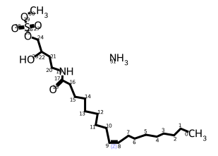 CCCCCCCC/C=C\CCCCCCCC(=O)NCCC(O)COS(=O)(=O)OC.N